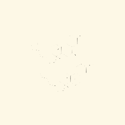 C[C@H](CCC(=O)O)[C@H]1CC[C@H]2[C@@H]3CC[C@@H]4C[C@H](O)CC[C@]4(C)[C@H]3CC[C@]12C.C[C@H](CCC(=O)O)[C@H]1CC[C@H]2[C@@H]3C[C@H](O)[C@@H]4C[C@H](O)CC[C@]4(C)[C@H]3CC[C@]12C